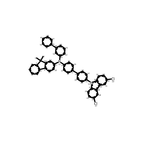 CC1(C)c2ccccc2-c2ccc(N(c3ccc(-c4ccc(-n5c6ccc(Cl)cc6c6cc(Cl)ccc65)cc4)cc3)c3cccc(-c4ccccc4)c3)cc21